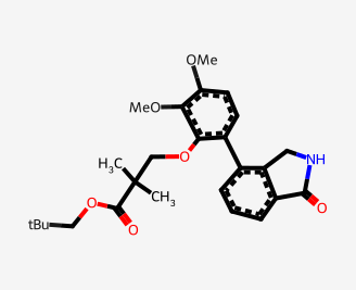 COc1ccc(-c2cccc3c2CNC3=O)c(OCC(C)(C)C(=O)OCC(C)(C)C)c1OC